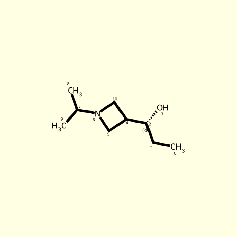 CC[C@@H](O)C1CN(C(C)C)C1